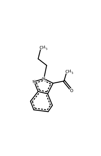 CCCn1nc2ccccc2c1C(C)=O